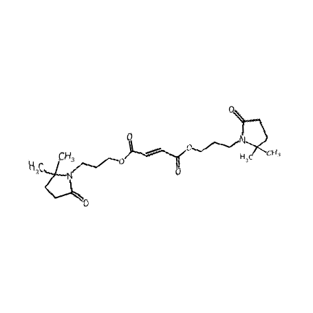 CC1(C)CCC(=O)N1CCCOC(=O)/C=C/C(=O)OCCCN1C(=O)CCC1(C)C